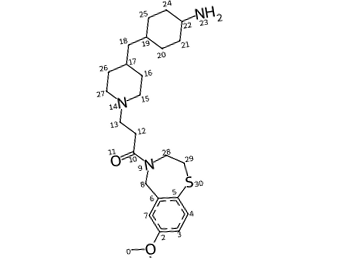 COc1ccc2c(c1)CN(C(=O)CCN1CCC(CC3CCC(N)CC3)CC1)CCS2